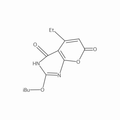 CCc1cc(=O)oc2nc(OC(C)CC)[nH]c(=O)c12